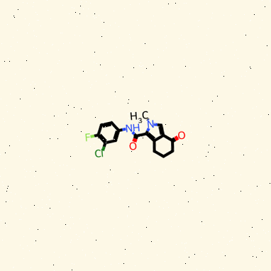 Cn1cc2c(c1C(=O)Nc1ccc(F)c(Cl)c1)CCCC2=O